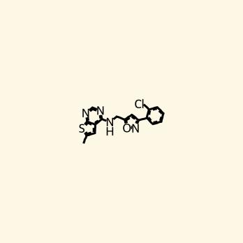 Cc1cc2c(NCc3cc(-c4ccccc4Cl)no3)ncnc2s1